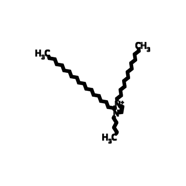 CCCCCCCCCCCCCCCCCCc1n(CCCCC)cc[n+]1CCCCCCCCCCCCC